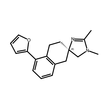 CC1=N[C@@]2(CCc3c(cccc3-c3ccco3)C2)CN1C